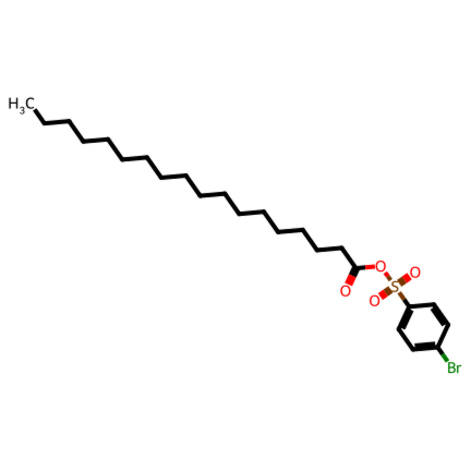 CCCCCCCCCCCCCCCCCC(=O)OS(=O)(=O)c1ccc(Br)cc1